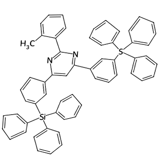 Cc1ccccc1-c1nc(-c2cccc([Si](c3ccccc3)(c3ccccc3)c3ccccc3)c2)cc(-c2cccc(S(c3ccccc3)(c3ccccc3)c3ccccc3)c2)n1